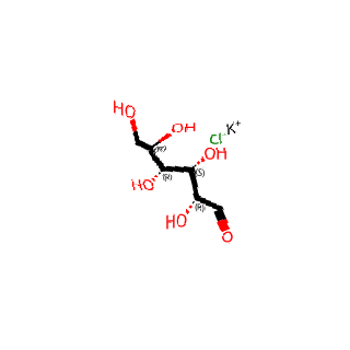 O=C[C@H](O)[C@@H](O)[C@H](O)[C@H](O)CO.[Cl-].[K+]